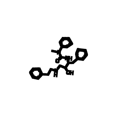 CN(C(=O)NC(Cc1ccccc1)C(O)CNCCc1ccccc1)c1ccccc1